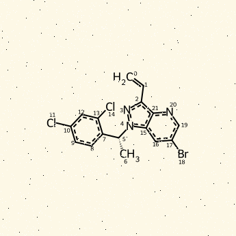 C=Cc1nn([C@H](C)c2ccc(Cl)cc2Cl)c2cc(Br)cnc12